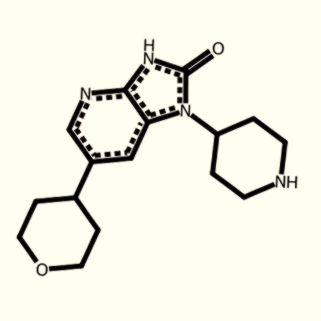 O=c1[nH]c2ncc(C3CCOCC3)cc2n1C1CCNCC1